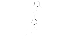 O=C(O)C1CCN(C2CCc3cc(C4CN(c5c(F)cccc5F)C4)ccc32)CC1